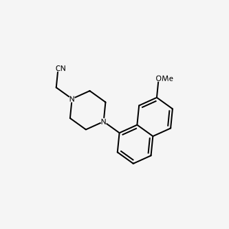 COc1ccc2cccc(N3CCN(CC#N)CC3)c2c1